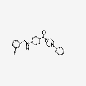 O=C(c1ccc(NCc2cccc(F)c2)cc1)N1CCN(c2ccccc2)CC1